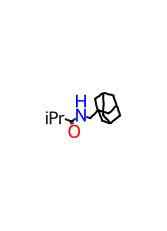 CC(C)C(=O)NCC12CC3CC(CC(C3)C1)C2